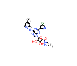 O=C(NCC(F)(F)F)[C@H]1O[C@@H](n2cnc3c(NCc4cc(C(F)(F)F)ccn4)nc(-c4cncc(Cl)c4)nc32)[C@H](O)[C@@H]1O